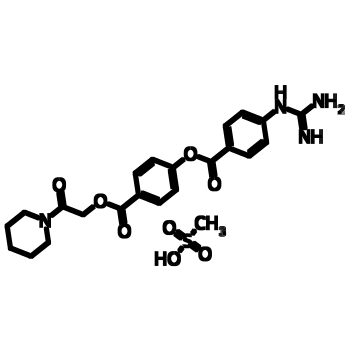 CS(=O)(=O)O.N=C(N)Nc1ccc(C(=O)Oc2ccc(C(=O)OCC(=O)N3CCCCC3)cc2)cc1